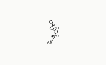 O=C(NCCCN1CCOCC1)c1ccc2[nH]c3c(c2c1)CCCC3NC1CCCCC1